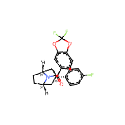 O=C(c1ccc2c(c1)OC(F)(F)O2)N1[C@@H]2CC[C@H]1C[C@@H](c1ccc(F)cc1)C2